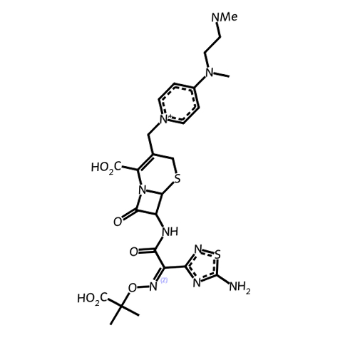 CNCCN(C)c1cc[n+](CC2=C(C(=O)O)N3C(=O)C(NC(=O)/C(=N\OC(C)(C)C(=O)O)c4nsc(N)n4)C3SC2)cc1